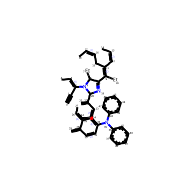 C#C/C(=C\C)N1C(CC)C(/C(CC)=C(/C=C\C)C/C=C\C)=NC1C(=C)/C=C\C(=C/C)C(=C)/C=C\C(=C/C)N(c1ccccc1)c1ccccc1